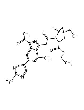 CCOC(=O)[C@@H]1C[C@@]2(CO)C[C@H]2N1C(=O)Cn1nc(C(C)=O)c2cc(-c3cnc(C)nc3)cc(C)c21